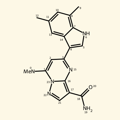 CNc1cc(-c2c[nH]c3c(C)cc(C)cc23)nc2c(C(N)=O)cnn12